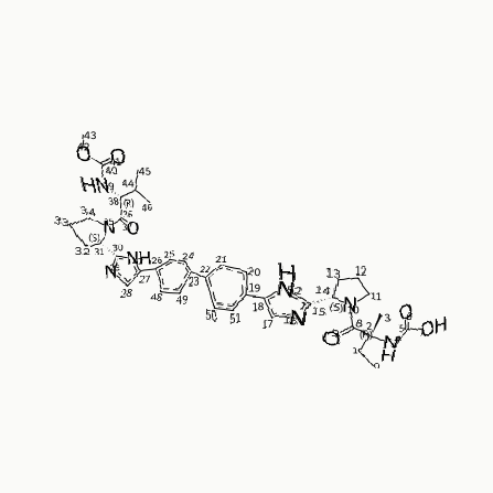 CC[C@@](C)(NC(=O)O)C(=O)N1CCC[C@H]1c1ncc(-c2ccc(-c3ccc(-c4cnc([C@@H]5CCCN5C(=O)[C@H](NC(=O)OC)C(C)C)[nH]4)cc3)cc2)[nH]1